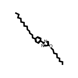 CCCCCCCCCCCCCc1ccc(-c2ncc(OCCCCCCCCC)cn2)cc1